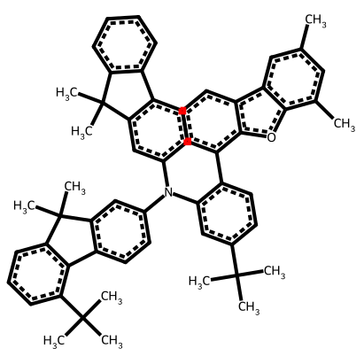 Cc1cc(C)c2oc3c(-c4ccc(C(C)(C)C)cc4N(c4ccc5c(c4)C(C)(C)c4ccccc4-5)c4ccc5c(c4)C(C)(C)c4cccc(C(C)(C)C)c4-5)cccc3c2c1